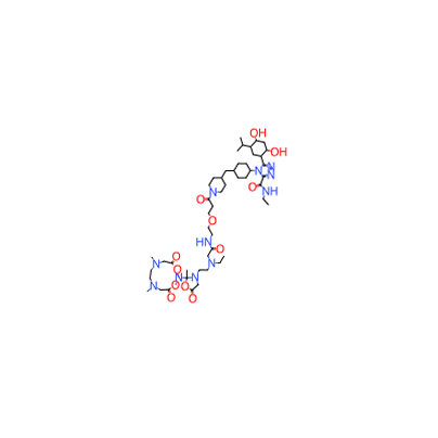 CCNC(=O)c1nnc(C2CC(C(C)C)C(O)CC2O)n1C1CCC(CC2CCN(C(=O)CCOCCNC(=O)CN(CC)CCN3CC(=O)OC3(C)N3OC(=O)CN(C)CCN(C)CC(=O)O3)CC2)CC1